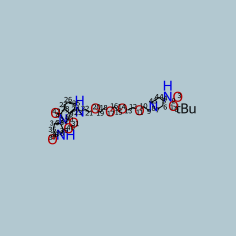 CC(C)(C)OC(=O)NC1CCN(CCOCCOCCOCCOCCNc2cccc3c2C(=O)N(C2CCC(=O)NC2=O)C3=O)CC1